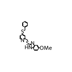 COc1ccc2[nH]c(SCc3cc(SCc4ccccc4)ccn3)nc2c1